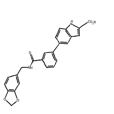 O=C(NCc1ccc2c(c1)OCO2)c1cccc(-c2ccc3[nH]c(C(=O)O)cc3c2)c1